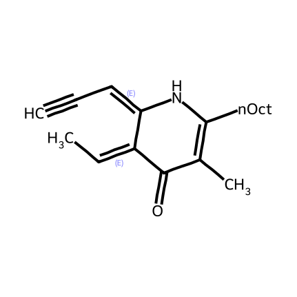 C#C/C=c1/[nH]c(CCCCCCCC)c(C)c(=O)/c1=C/C